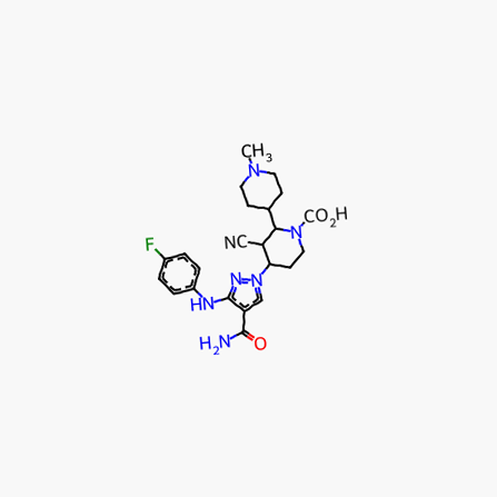 CN1CCC(C2C(C#N)C(n3cc(C(N)=O)c(Nc4ccc(F)cc4)n3)CCN2C(=O)O)CC1